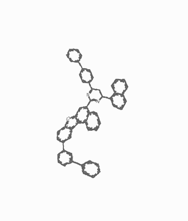 c1ccc(-c2ccc(C3=NC(c4cc5oc6ccc(-c7cccc(-c8ccccc8)c7)cc6c5c5ccccc45)=NC(c4cccc5ccccc45)C3)cc2)cc1